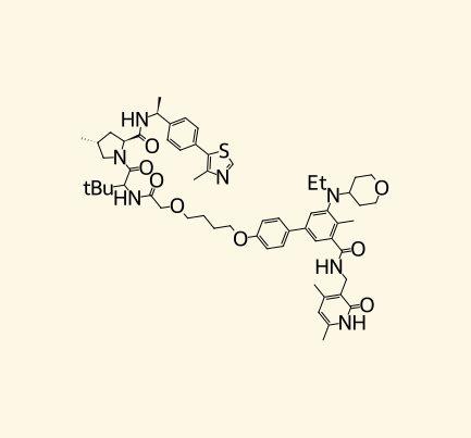 CCN(c1cc(-c2ccc(OCCCCOCC(=O)NC(C(=O)N3C[C@H](C)C[C@H]3C(=O)N[C@@H](C)c3ccc(-c4scnc4C)cc3)C(C)(C)C)cc2)cc(C(=O)NCc2c(C)cc(C)[nH]c2=O)c1C)C1CCOCC1